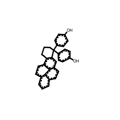 Oc1ccc(C2(c3ccc(O)cc3)CCCc3c2cc2ccc4cccc5ccc3c2c45)cc1